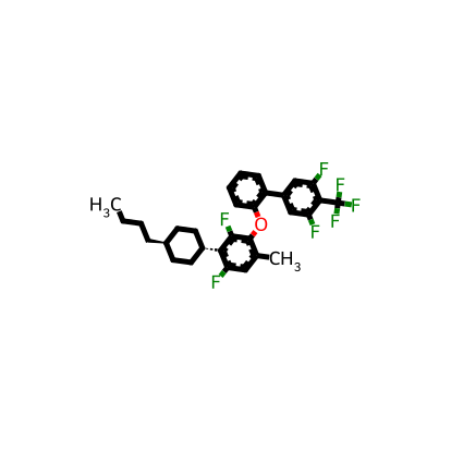 CCCC[C@H]1CC[C@H](c2c(F)cc(C)c(Oc3ccccc3-c3cc(F)c(C(F)(F)F)c(F)c3)c2F)CC1